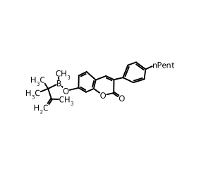 C=C(C)C(C)(C)B(C)Oc1ccc2cc(-c3ccc(CCCCC)cc3)c(=O)oc2c1